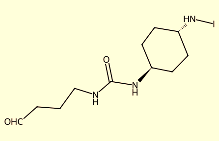 O=CCCCNC(=O)N[C@H]1CC[C@H](NI)CC1